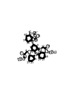 CC(C)(C)OC(=O)COc1cccc(OCC(=O)OC(C)(C)C)c1[S+](c1ccccc1)c1ccccc1.O=S(=O)([O-])c1c(F)cccc1F